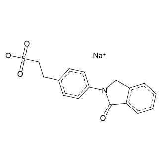 O=C1c2ccccc2CN1c1ccc(CCS(=O)(=O)[O-])cc1.[Na+]